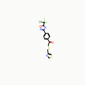 O=C(CSCc1cscn1)c1ccc(-c2noc(C(F)(F)Cl)n2)cc1